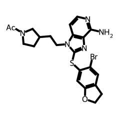 CC(=O)N1CCC(CCn2c(Sc3cc4c(cc3Br)CCO4)nc3c(N)nccc32)C1